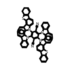 N#Cc1c(-n2c3ccccc3c3ccccc32)c(-n2c3ccccc3c3c4sc5ccccc5c4ccc32)c(C#N)c(-n2c3ccccc3c3ccccc32)c1-n1c2ccccc2c2c3sc4c(c3ccc21)C=CCC4